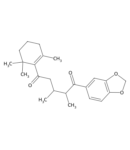 CC1=C(C(=O)CC(C)C(C)C(=O)c2ccc3c(c2)OCO3)C(C)(C)CCC1